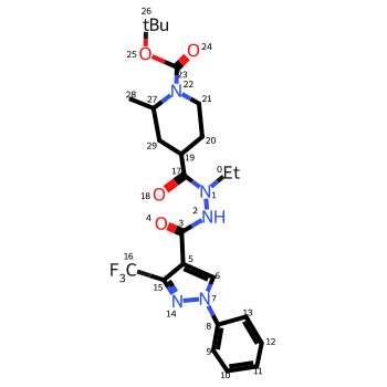 CCN(NC(=O)c1cn(-c2ccccc2)nc1C(F)(F)F)C(=O)C1CCN(C(=O)OC(C)(C)C)C(C)C1